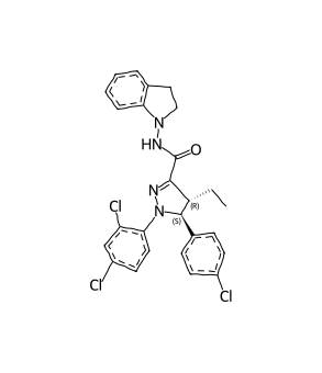 CC[C@H]1C(C(=O)NN2CCc3ccccc32)=NN(c2ccc(Cl)cc2Cl)[C@@H]1c1ccc(Cl)cc1